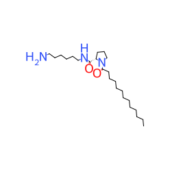 CCCCCCCCCCCCC(=O)N1CCC[C@H]1C(=O)NCCCCCCN